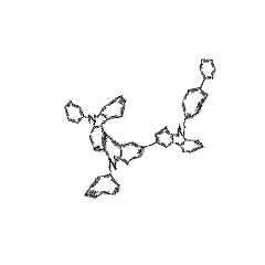 c1ccc(-c2ccc(-n3c4ccccc4c4cc(-c5ccc6c(c5)c5c7c8ccccc8n(-c8ccccc8)c7ccc5n6-c5ccccc5)ccc43)cc2)cc1